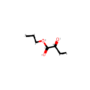 [CH2]CCOC(=O)C(=O)CC